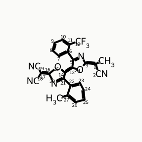 C/C(C#N)=c1\nc(-c2ccccc2C(F)(F)F)/c(=c2\oc(=C(C#N)C#N)nc2-c2ccccc2C)o1